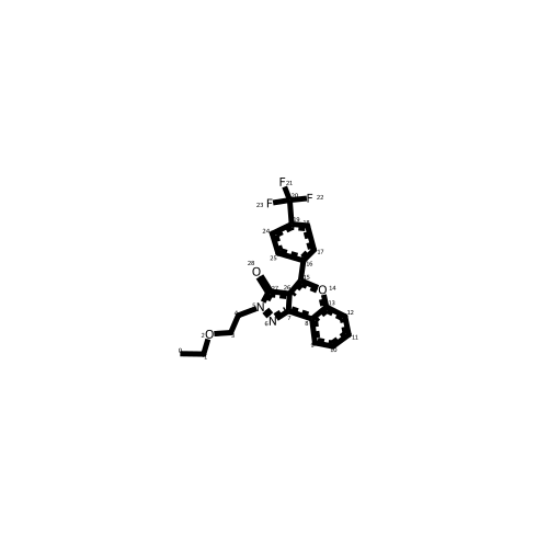 CCOCCn1nc2c3ccccc3oc(-c3ccc(C(F)(F)F)cc3)c-2c1=O